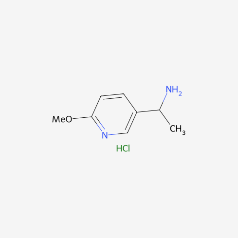 COc1ccc(C(C)N)cn1.Cl